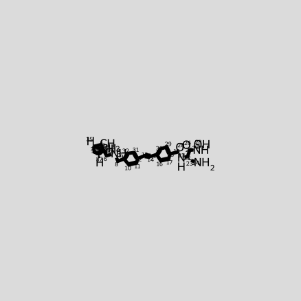 CC1(C)[C@H]2C[C@@H](CNCc3ccc(C#Cc4ccc(C(=O)N[C@@H](CN)C(=O)NO)cc4)cc3)[C@@H]1C2